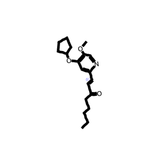 CCCCCC(=O)/C=C/c1cc(OC2CCCC2)c(OC)cn1